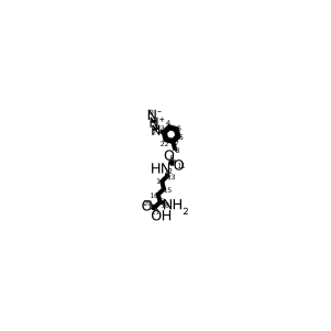 [N-]=[N+]=Nc1cccc(COC(=O)NCCCCC(N)C(=O)O)c1